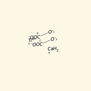 O=C([O-])[O-].O=C([O-])[O-].[CaH2].[Ti+4]